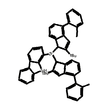 Cc1ccccc1-c1cccc2c1C=C(C(C)(C)C)[CH]2[Zr]([c]1cccc2c1[SiH2]c1ccccc1-2)[CH]1C(C(C)(C)C)=Cc2c(-c3ccccc3C)cccc21